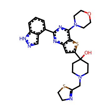 OC1(c2cc3nc(-c4cccc5[nH]ncc45)nc(N4CCOCC4)c3s2)CCN(CC2=NCCS2)CC1